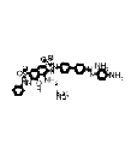 Nc1ccc(N=Nc2ccc(-c3ccc(N=Nc4c(S(=O)(=O)[O-])cc5cc(S(=O)(=O)[O-])c(N=Nc6ccccc6)c(O)c5c4N)cc3)cc2)c(N)c1.[Na+].[Na+]